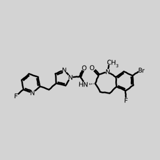 CN1C(=O)[C@@H](NC(=O)n2cc(Cc3cccc(F)n3)cn2)CCc2c(F)cc(Br)cc21